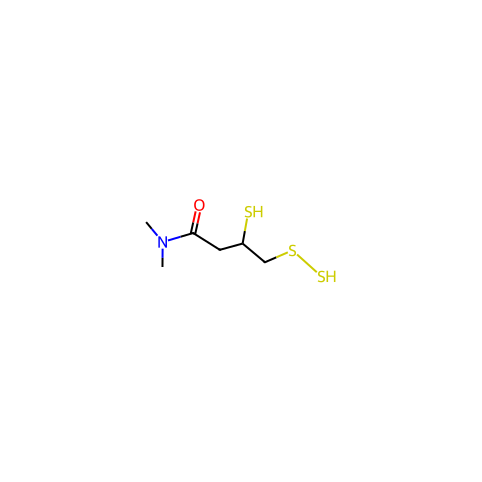 CN(C)C(=O)CC(S)CSS